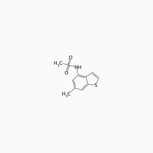 Cc1cc(NS(C)(=O)=O)c2ccsc2c1